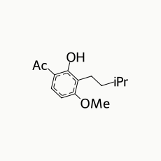 COc1ccc(C(C)=O)c(O)c1CCC(C)C